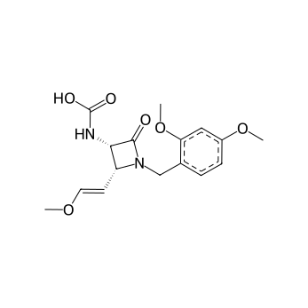 COC=C[C@@H]1[C@H](NC(=O)O)C(=O)N1Cc1ccc(OC)cc1OC